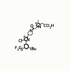 Cc1sc(CC(=O)N2CCC(c3nc(-c4cc(SC(F)(F)F)cc(C(C)(C)C)c4)c(Cl)s3)CC2)nc1CC(=O)O